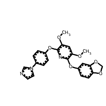 COc1cc(OC)c(Oc2ccc3c(c2)OCO3)nc1Oc1ccc(-n2ccnc2)cc1